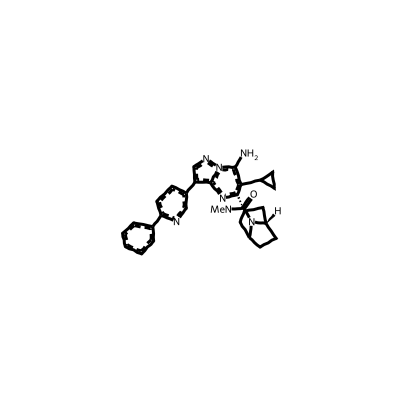 CNC(=O)N1C2CC[C@H]1C[C@@H](c1nc3c(-c4ccc(-c5ccccc5)nc4)cnn3c(N)c1C1CC1)C2